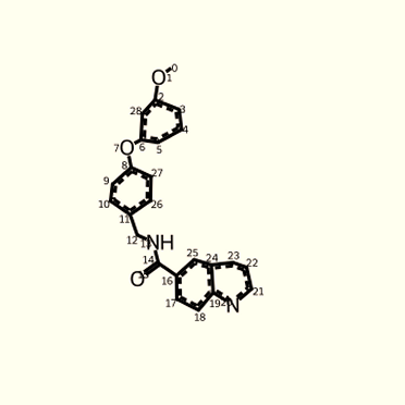 COc1cccc(Oc2ccc(CNC(=O)c3ccc4ncccc4c3)cc2)c1